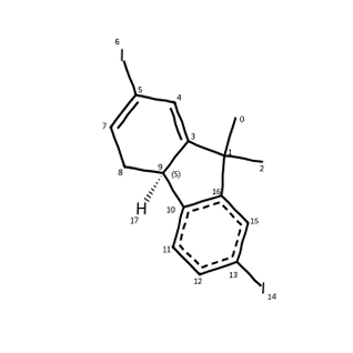 CC1(C)C2=CC(I)=CC[C@@H]2c2ccc(I)cc21